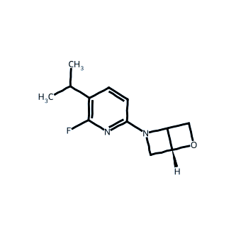 CC(C)c1ccc(N2C[C@H]3OCC32)nc1F